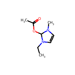 CCN1C=CN(C)C1OC(C)=O